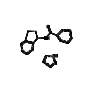 O=C(NC1CCc2ccccc21)c1ccccc1.c1cn[nH]c1